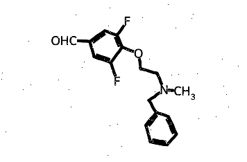 CN(CCOc1c(F)cc(C=O)cc1F)Cc1ccccc1